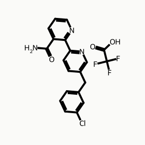 NC(=O)c1cccnc1-c1ccc(Cc2cccc(Cl)c2)cn1.O=C(O)C(F)(F)F